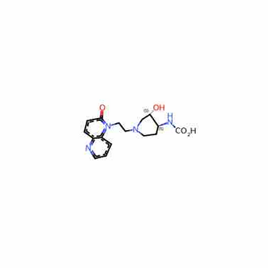 O=C(O)N[C@H]1CCN(CCn2c(=O)ccc3ncccc32)C[C@@H]1O